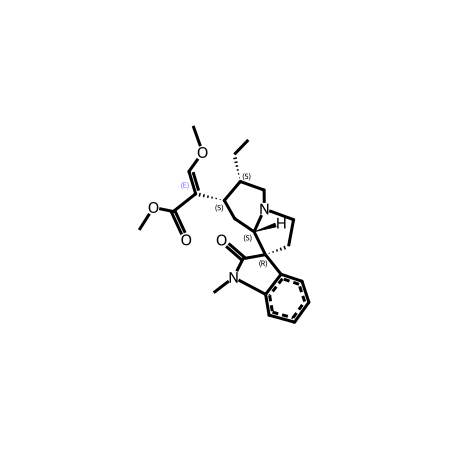 CC[C@@H]1CN2CC[C@]3(C(=O)N(C)c4ccccc43)[C@@H]2C[C@@H]1/C(=C\OC)C(=O)OC